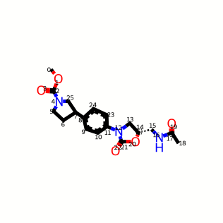 COC(=O)N1CCC(c2ccc(N3C[C@H](CNC(C)=O)OC3=O)cc2)C1